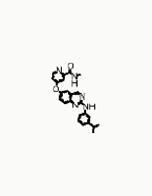 CNC(=O)c1cc(Oc2ccc3nc(Nc4cccc(C(C)C)c4)ncc3c2)ccn1